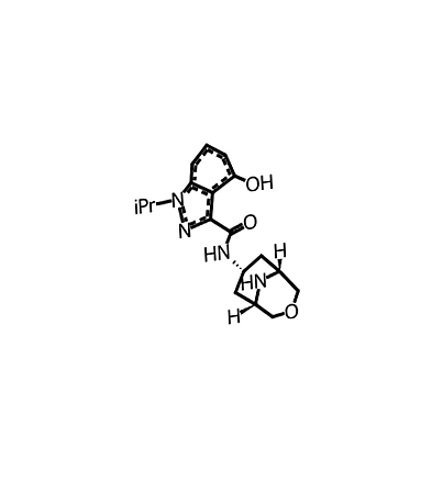 CC(C)n1nc(C(=O)N[C@H]2C[C@H]3COC[C@@H](C2)N3)c2c(O)cccc21